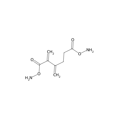 C=C(CCC(=O)ON)C(=C)C(=O)ON